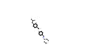 CCOC(=O)CC1COc2cc(C(=O)Nc3ccc(/C=N/N4CCOCC4)cc3)ccc2C1